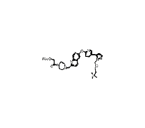 COCC(=O)N1CCN(Cc2ccc3cc(Oc4ccc(-c5ccnn5COCC[Si](C)(C)C)cn4)ccc3n2)CC1